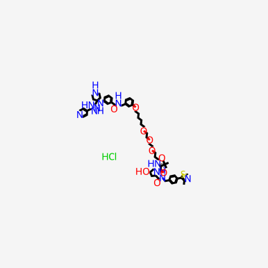 Cc1ncsc1-c1ccc(CNC(=O)C2CC(O)CN2C(=O)[C@@H](NC(=O)CCOCCOCCOCCCCCCOc2cccc(CNC(=O)c3cccc(NC4(c5nnc(-c6ccncc6)[nH]5)CCNCC4)c3)c2)C(C)(C)C)cc1.Cl